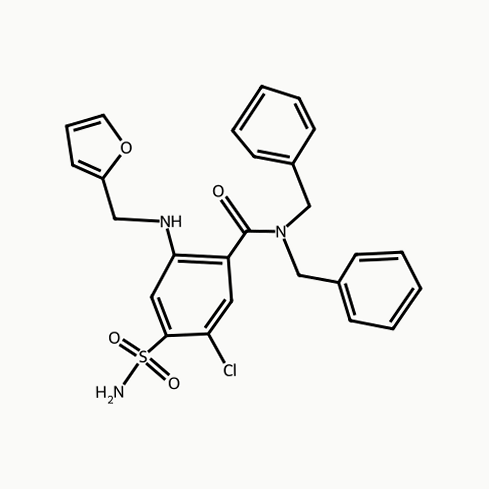 NS(=O)(=O)c1cc(NCc2ccco2)c(C(=O)N(Cc2ccccc2)Cc2ccccc2)cc1Cl